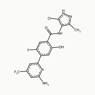 Cc1n[nH]c(Cl)c1NC(=O)c1cc(F)c(-c2cc(C(F)(F)F)cc(N)n2)cc1O